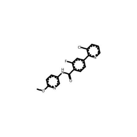 COc1ccc(NC(=O)c2ccc(-c3ncccc3Cl)cc2F)cn1